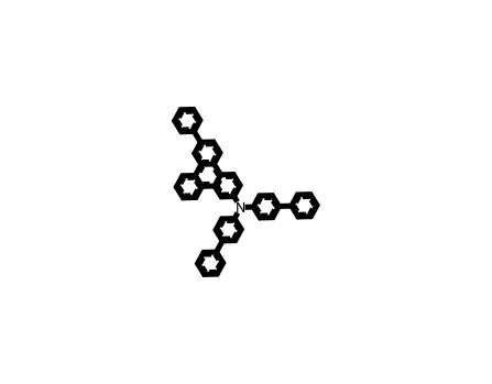 c1ccc(-c2ccc(N(c3ccc(-c4ccccc4)cc3)c3ccc4c5ccc(-c6ccccc6)cc5c5ccccc5c4c3)cc2)cc1